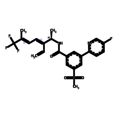 C=C/C(=C\C=C(/C)C(F)(F)F)[C@@H](C)NC(=O)c1cc(-c2ccc(F)cn2)cc(S(C)(=O)=O)c1